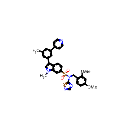 COc1ccc(CN(c2ncns2)S(=O)(=O)c2ccc3c(-c4cc(-c5ccncc5)cc(C(F)(F)F)c4)cn(C)c3c2)c(OC)c1